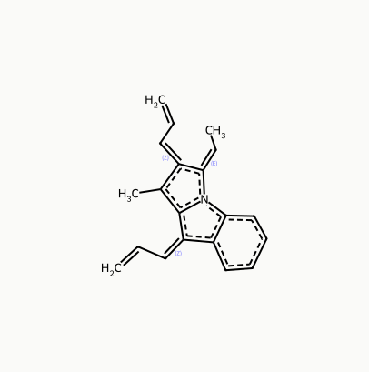 C=C/C=c1/c(C)c2/c(=C\C=C)c3ccccc3n2/c1=C/C